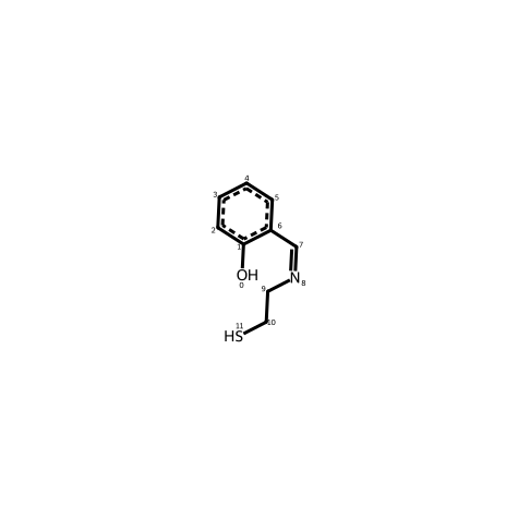 Oc1ccccc1/C=N\CCS